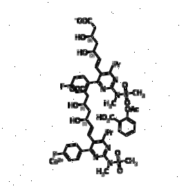 CC(=O)Oc1ccccc1C(=O)O.CC(C)c1nc(N(C)S(C)(=O)=O)nc(-c2ccc(F)cc2)c1C=C[C@@H](O)C[C@@H](O)CC(=O)[O-].CC(C)c1nc(N(C)S(C)(=O)=O)nc(-c2ccc(F)cc2)c1C=C[C@@H](O)C[C@@H](O)CC(=O)[O-].[Ca+2]